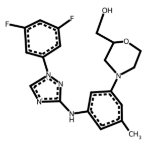 Cc1cc(Nc2ncn(-c3cc(F)cc(F)c3)n2)cc(N2CCOC(CO)C2)c1